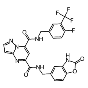 O=C(NCc1ccc2oc(=O)[nH]c2c1)c1cc(C(=O)NCc2ccc(F)c(C(F)(F)F)c2)n2nccc2n1